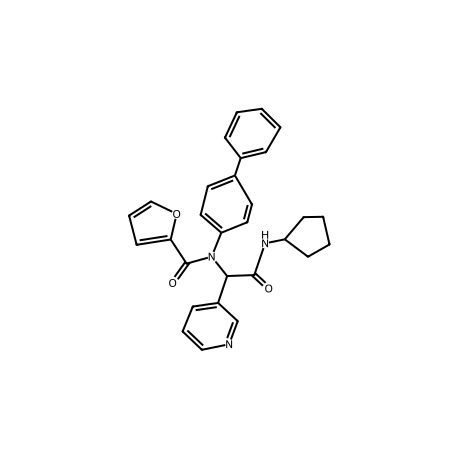 O=C(NC1CCCC1)C(c1cccnc1)N(C(=O)c1ccco1)c1ccc(-c2ccccc2)cc1